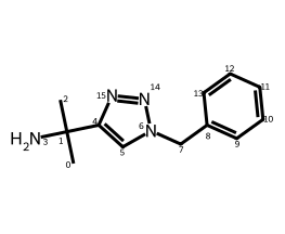 CC(C)(N)c1cn(Cc2ccccc2)nn1